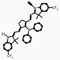 C#C[N+]1=C(C=CC2=C(N(c3ccccc3)c3ccccc3)C(=CC=C3N(CC)c4ccc(C(F)(F)F)cc4C3(C)C)CC2)C(C)(C)c2cc(C(F)(F)F)ccc21